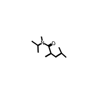 CC(C)CC(C)C(=O)N(C)C(C)C